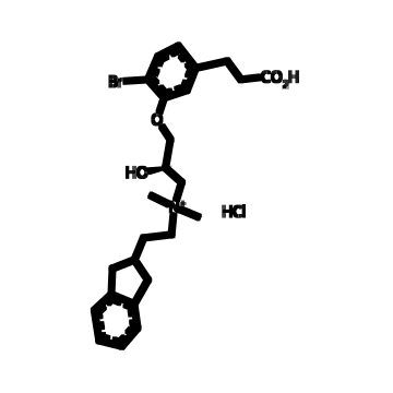 C[N+](C)(CCC1Cc2ccccc2C1)C[C@@H](O)COc1cc(CCC(=O)O)ccc1Br.Cl